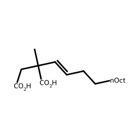 CCCCCCCCCC/C=C/C(C)(CC(=O)O)C(=O)O